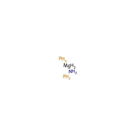 N.P.P.[MgH2]